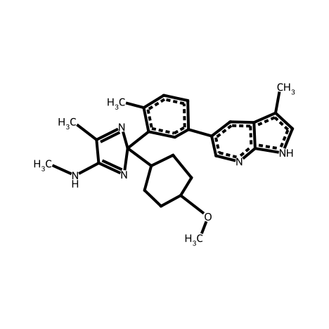 CNC1=NC(c2cc(-c3cnc4[nH]cc(C)c4c3)ccc2C)(C2CCC(OC)CC2)N=C1C